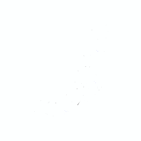 CN(CC1CCCCC1)c1ccc2c(c1)C(=O)N(C)[C@H]1CC[C@@H](CC(=O)NC3Cc4ccccc4C3)O[C@H]1CO2